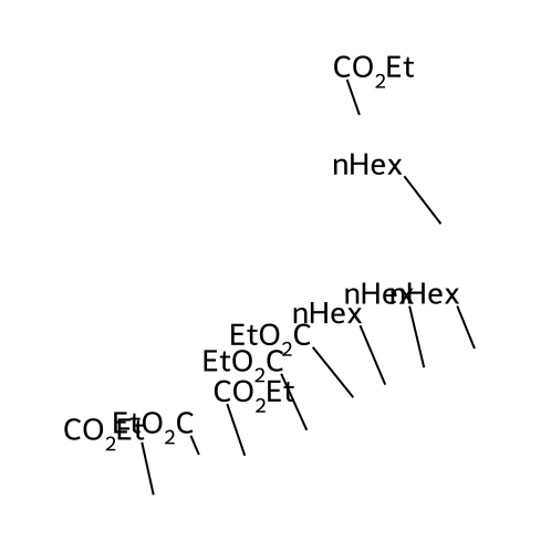 CCCCCCC.CCCCCCC.CCCCCCC.CCCCCCC.CCOC(C)=O.CCOC(C)=O.CCOC(C)=O.CCOC(C)=O.CCOC(C)=O.CCOC(C)=O